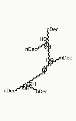 CCCCCCCCCCCCCCC(O)CN(CCCCCCCCCCN(CC(O)CCCCCCCCCCCCCC)CC(O)CCCCCCCCCCCCCC)CCN1CCN(CCCCCCCCCCN(CC(O)CCCCCCCCCCCCCC)CC(O)CCCCCCCCCCCCCC)CC1